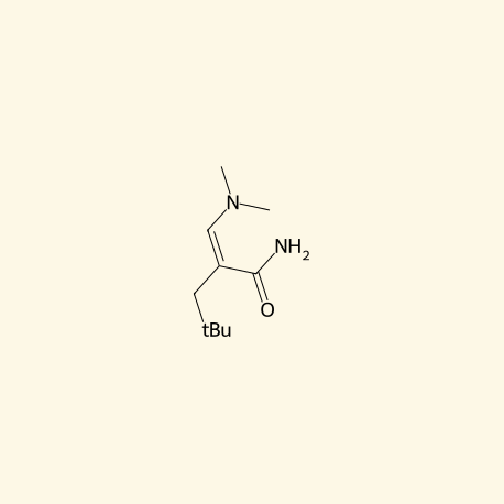 CN(C)C=C(CC(C)(C)C)C(N)=O